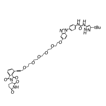 CC(C)(C)c1cc(NC(=O)Nc2ccc(-n3cnc4cc(OCCOCCOCCOCCOCCOCC#Cc5cccc6c5C(=O)N(C5CCC(=O)NC5=O)C6=O)ccc43)cc2)[nH]n1